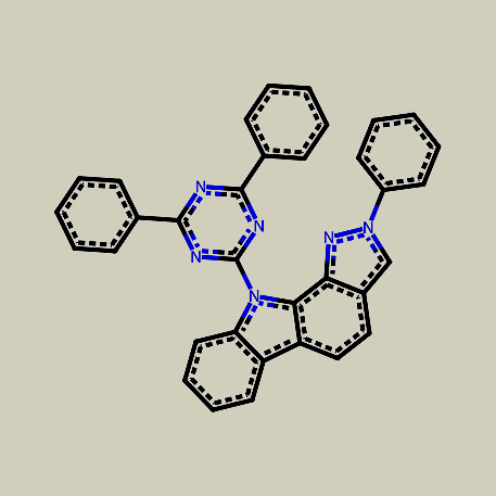 c1ccc(-c2nc(-c3ccccc3)nc(-n3c4ccccc4c4ccc5cn(-c6ccccc6)nc5c43)n2)cc1